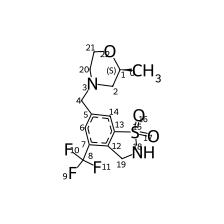 C[C@H]1CN(Cc2cc(C(F)(F)F)c3c(c2)S(=O)(=O)NC3)CCO1